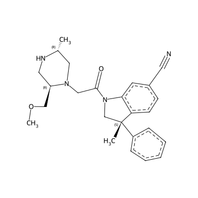 COC[C@H]1CN[C@H](C)CN1CC(=O)N1C[C@@](C)(c2ccccc2)c2ccc(C#N)cc21